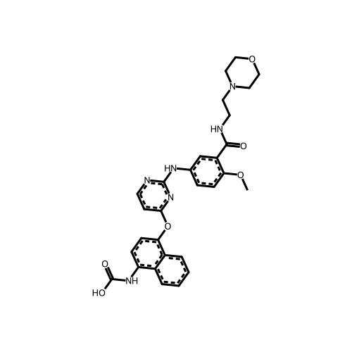 COc1ccc(Nc2nccc(Oc3ccc(NC(=O)O)c4ccccc34)n2)cc1C(=O)NCCN1CCOCC1